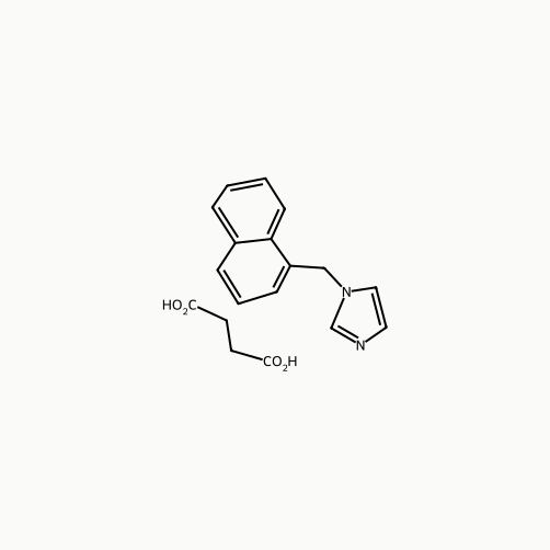 O=C(O)CCC(=O)O.c1ccc2c(Cn3ccnc3)cccc2c1